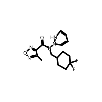 Cc1nonc1C(=O)N(CC1CCC(F)(F)CC1)N1C=CC=CN1